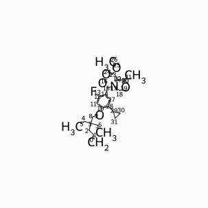 C=CCC(CC)(CC)COc1cc(F)c(C(=O)N2CO[C@H](C)[C@H]2C(=O)OC)cc1C1CC1